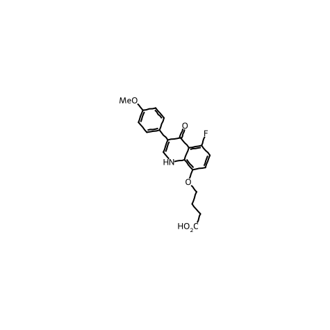 COc1ccc(-c2c[nH]c3c(OCCCC(=O)O)ccc(F)c3c2=O)cc1